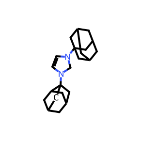 C1=CN(C23CC4CC(CC2C4)C3)CN1C12CC3CC(CC(C3)C1)C2